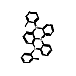 Cc1ccccc1N1c2ccccc2B2c3ccccc3N(c3ccccc3C)c3cccc1c32